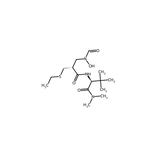 CCSC[C@H](CN(O)C=O)C(=O)N[C@H](C(=O)N(C)C)C(C)(C)C